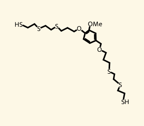 COc1cc(COCCCSCCSCCS)ccc1OCCCSCCSCCS